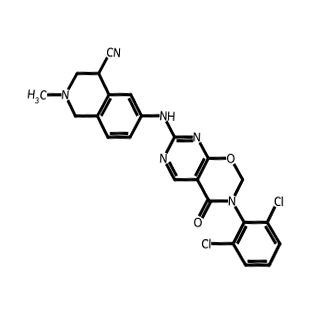 CN1Cc2ccc(Nc3ncc4c(n3)OCN(c3c(Cl)cccc3Cl)C4=O)cc2C(C#N)C1